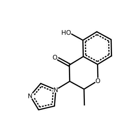 CC1Oc2cccc(O)c2C(=O)C1n1ccnc1